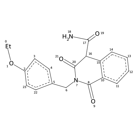 CCOc1ccc(CN2C(=O)c3ccccc3C(C(N)=O)C2=O)cc1